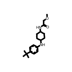 COCC(=O)NC1CCC(Nc2ccc(C(C)(C)C)cc2)CC1